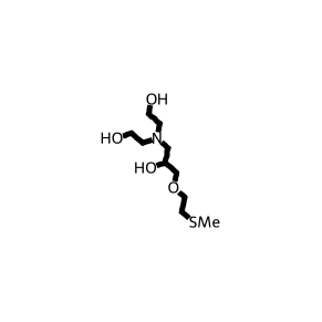 CSCCOCC(O)CN(CCO)CCO